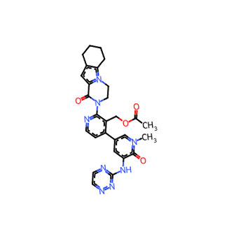 CC(=O)OCc1c(-c2cc(Nc3nccnn3)c(=O)n(C)c2)ccnc1N1CCn2c(cc3c2CCCC3)C1=O